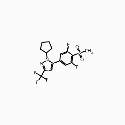 CS(=O)(=O)c1c(F)cc(-c2cc(C(F)(F)F)nn2C2CCCC2)cc1F